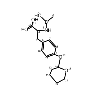 CB(O)NC(Cc1ccc(OC2CCCCO2)cc1)C(=O)O